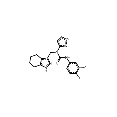 O=C(Nc1ccc(F)c(Cl)c1)N(Cc1n[nH]c2c1CCCC2)c1ccon1